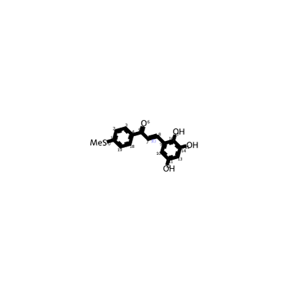 CSc1ccc(C(=O)/C=C/c2cc(O)cc(O)c2O)cc1